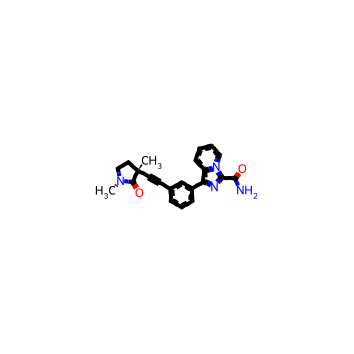 CN1CC[C@@](C)(C#Cc2cccc(-c3nc(C(N)=O)n4ccccc34)c2)C1=O